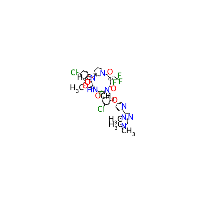 COC[C@@H]1NC(=O)[C@H](C)N(Cc2c(F)cc(Cl)cc2Oc2ccc(-c3cnc(CN(C)C)n3C)nc2)C(=O)C[C@@H](CC(F)(F)F)C(=O)N2CCC[C@@](Cc3ccc(Cl)cc3)(C2)N(C)C1=O